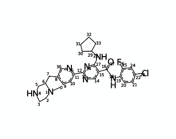 CN1CCNCC1Cc1ccc(-c2ncc(C(=O)Nc3ccc(Cl)cc3F)c(NC3CCCC3)n2)nc1